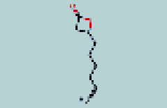 C=CCCCCC1CC(=O)O1